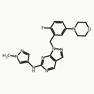 Cn1cc(Nc2ncc3cnn(Cc4cc(N5CCOCC5)ccc4F)c3n2)cn1